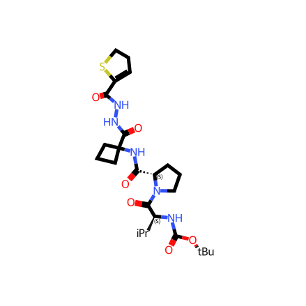 CC(C)[C@H](NC(=O)OC(C)(C)C)C(=O)N1CCC[C@H]1C(=O)NC1(C(=O)NNC(=O)C2=CCCS2)CCC1